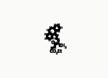 CCOC(=O)CCC(=O)N(C)CCC=C1c2ccccc2CCc2ccccc21